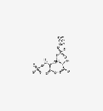 CC(O)C(=O)[O-].CC(O)C(=O)[O-].O=S(=O)([O-])[O-].O=S(=O)([O-])[O-].[Ca+2].[Ca+2].[Ca+2]